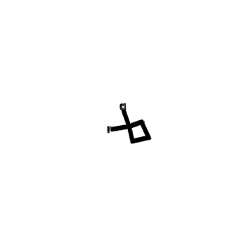 FC1(Cl)[CH]CC1